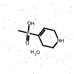 CP(=O)(O)C1=CCNCC1.O